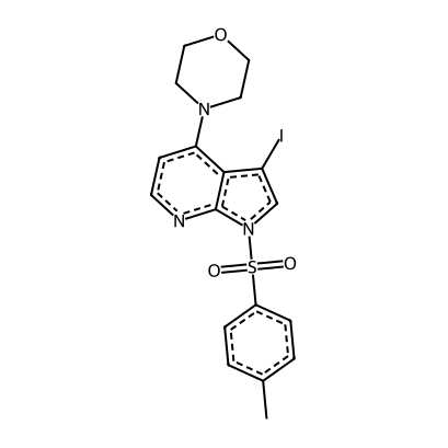 Cc1ccc(S(=O)(=O)n2cc(I)c3c(N4CCOCC4)ccnc32)cc1